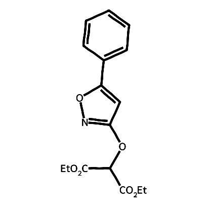 CCOC(=O)C(Oc1cc(-c2ccccc2)on1)C(=O)OCC